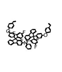 C=Cc1ccc(Oc2ccc(C3(c4c(F)cc(F)cc4F)c4ccccc4-c4ccc(N(c5ccccc5)c5ccc6c(c5)C(c5ccc(Oc7ccc(C=C)cc7)cc5)(c5c(F)cc(F)cc5F)c5ccccc5-6)cc43)cc2)cc1